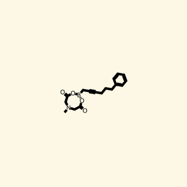 CN1CC(=O)OB(CC#CCCCc2ccccc2)OC(=O)C1